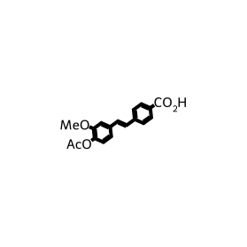 COc1cc(/C=C/c2ccc(C(=O)O)cc2)ccc1OC(C)=O